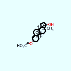 C[C@]12CC[C@H]3[C@@H](CCC4=C[C@@H](OCC(=O)O)CC[C@@]43C)[C@@H]1CC[C@@H]2O